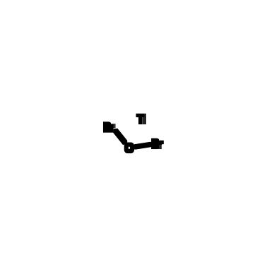 BrOBr.[Ti]